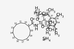 CC1=C(C)[CH]([Ti]([NH]C(=O)C2CCCCCCCCCCC2)([O]C(C)C)[O]C(C)C)c2c(C)c(C)cc(C)c21.[SiH4]